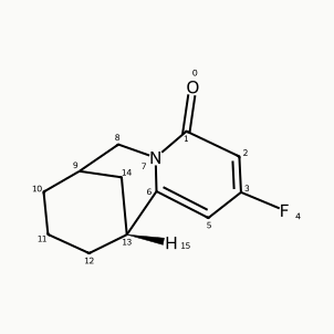 O=c1cc(F)cc2n1CC1CCC[C@@H]2C1